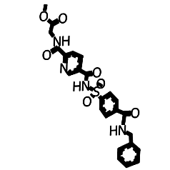 COC(=O)CNC(=O)c1ccc(C(=O)NS(=O)(=O)c2ccc(C(=O)NCc3ccccc3)cc2)cn1